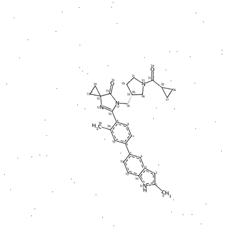 Cc1cc2cc(-c3ccc(C4=NC5(CC5)C(=O)N4C[C@@H]4CCN(C(=O)C5CC5)C4)c(C)c3)ccc2[nH]1